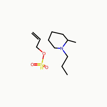 C=CCO[SH](=O)=O.CCCN1CCCCC1C